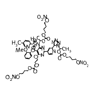 COc1ccccc1Oc1c(OCCOC(=O)OCCCCO[N+](=O)[O-])nc(-c2ccnc(-c3nnnn3C(C)OC(=O)OCCCCO[N+](=O)[O-])c2)nc1N(C(C)OC(=O)OCCCCO[N+](=O)[O-])S(=O)(=O)c1ccc(C)cn1